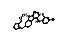 COCC1CCCN1CC1CCc2c(sc3ncnc(Nc4ccc(Br)cc4F)c23)C1